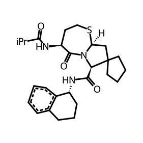 CC(C)C(=O)N[C@H]1CCS[C@H]2CC3(CCCC3)[C@@H](C(=O)N[C@@H]3CCCc4ccccc43)N2C1=O